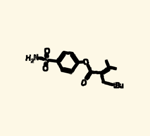 CC(C)=C(CC(C)(C)C)C(=O)Oc1ccc(S(N)(=O)=O)cc1